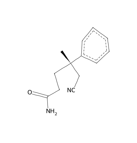 C[C@@](CC#N)(CCC(N)=O)c1ccccc1